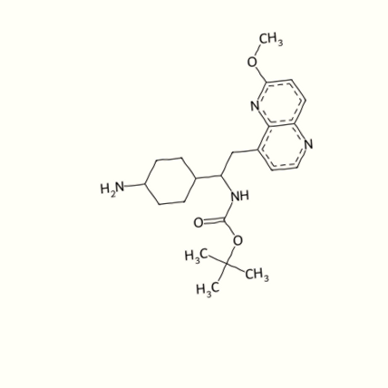 COc1ccc2nccc(CC(NC(=O)OC(C)(C)C)C3CCC(N)CC3)c2n1